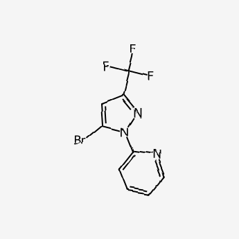 FC(F)(F)c1cc(Br)n(-c2ccccn2)n1